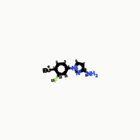 CCC(C)c1ccc(-n2ccc(N)n2)cc1F